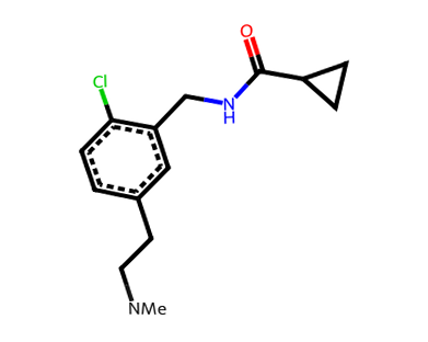 CNCCc1ccc(Cl)c(CNC(=O)C2CC2)c1